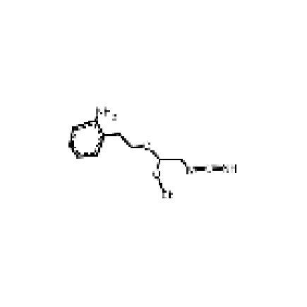 CCOC(CN=C=N)OCCc1ccccc1N